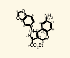 CCOC(=O)c1nn(-c2ccc3c(c2)OCO3)c2c1COc1ccc(N)cc1-2